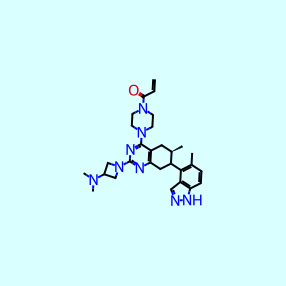 C=CC(=O)N1CCN(c2nc(N3CC(N(C)C)C3)nc3c2C[C@@H](C)C(c2c(C)ccc4[nH]ncc24)C3)CC1